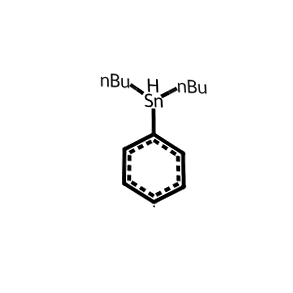 CCC[CH2][SnH]([CH2]CCC)[c]1cc[c]cc1